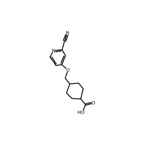 N#Cc1cc(OCC2CCC(C(=O)O)CC2)ccn1